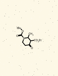 CCOC(=O)C1C(=O)CCN(C(=O)OC(C)(C)C)C1C